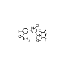 C=CC(=O)N1C(C(F)F)COC[C@H]1c1cc(Cl)nc(-c2ccc(F)c(C(N)=O)c2)c1